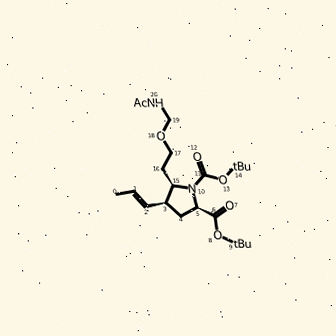 CC=C[C@@H]1C[C@H](C(=O)OC(C)(C)C)N(C(=O)OC(C)(C)C)[C@@H]1CCOCNC(C)=O